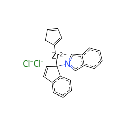 C1=CC[C]([Zr+2][C]2(n3cc4ccccc4c3)C=Cc3ccccc32)=C1.[Cl-].[Cl-]